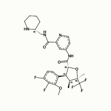 COc1c([C@H]2[C@H](C(=O)Nc3ccnc(C(=O)NC[C@H]4CCCCN4)c3)O[C@@](C)(C(F)(F)F)[C@H]2C)ccc(F)c1F